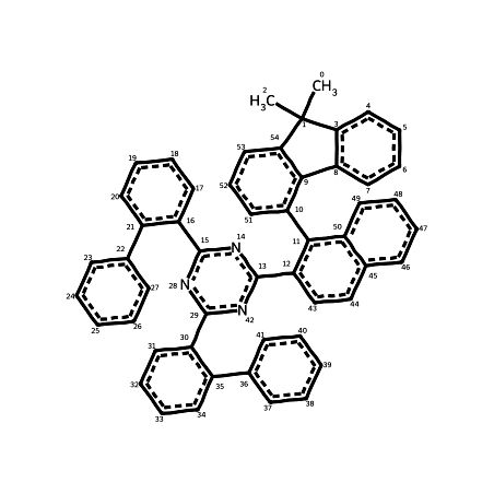 CC1(C)c2ccccc2-c2c(-c3c(-c4nc(-c5ccccc5-c5ccccc5)nc(-c5ccccc5-c5ccccc5)n4)ccc4ccccc34)cccc21